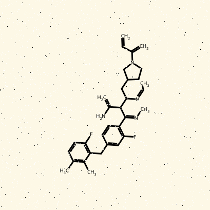 C=CC(=C)N1CCC(CC(/N=C\C)C(C(=C)N)/C(=N\C)c2ccc(Cc3c(F)ccc(C)c3C)cc2F)C1